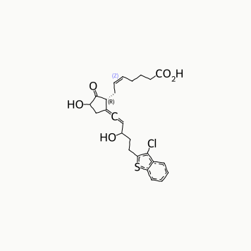 O=C(O)CCC/C=C\C[C@H]1C(=O)C(O)CC1=C=CC(O)CCc1sc2ccccc2c1Cl